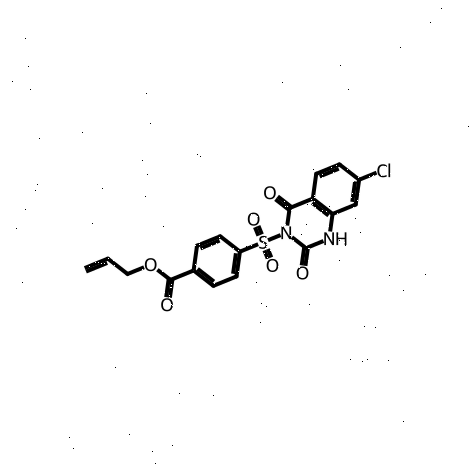 C=CCOC(=O)c1ccc(S(=O)(=O)n2c(=O)[nH]c3cc(Cl)ccc3c2=O)cc1